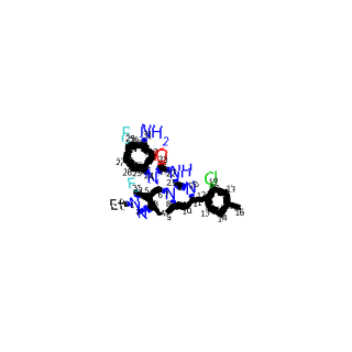 CCn1nc(C)c(CN2C(C)=CC(c3ccc(C)cc3Cl)N=C2Nc2nc3ccc(F)c(N)c3o2)c1F